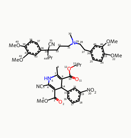 COC(=O)C1=C(C#N)NC(C)=C(C(=O)OC(C)C)C1c1cccc([N+](=O)[O-])c1.COc1ccc(CCN(C)CCCC(C#N)(c2ccc(OC)c(OC)c2)C(C)C)cc1OC